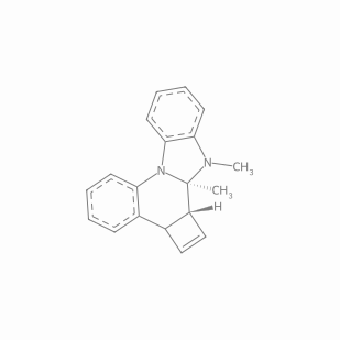 CN1c2ccccc2N2c3ccccc3C3C=C[C@H]3[C@]12C